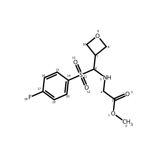 COC(=O)CNC(C1COC1)S(=O)(=O)c1ccc(F)cc1